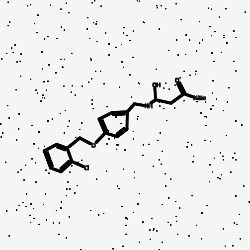 CNC(=O)CC(O)NCc1ccc(OCc2ccccc2Cl)cc1